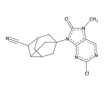 Cn1c(=O)n(C23CC4CC(C2)C(C3)C4C#N)c2nc(Cl)ncc21